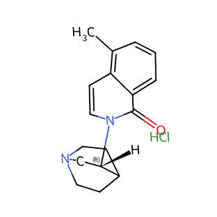 Cc1cccc2c(=O)n([C@H]3CN4CCC3CC4)ccc12.Cl